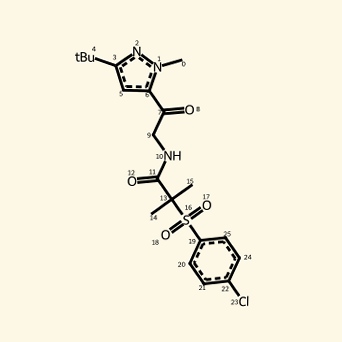 Cn1nc(C(C)(C)C)cc1C(=O)CNC(=O)C(C)(C)S(=O)(=O)c1ccc(Cl)cc1